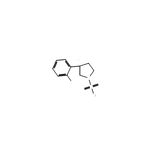 NS(=O)(=O)N1CC[C@](F)(c2ccccc2F)C1